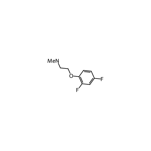 CNCCOc1ccc(F)cc1F